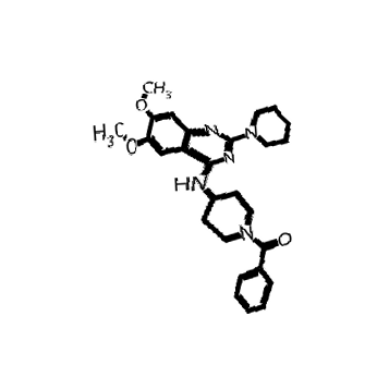 COc1cc2nc(N3CCCCC3)nc(NC3CCN(C(=O)c4ccccc4)CC3)c2cc1OC